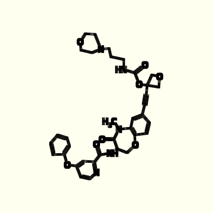 CN1C(=O)[C@H](NC(=O)c2cc(Oc3ccccc3)ccn2)COc2ccc(C#CC3(OC(=O)NCCCN4CCOCC4)COC3)cc21